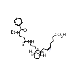 CCN(CCC(=S)NCC[C@H]1[C@@H](C/C=C\CCCC(=O)O)[C@H]2CC[C@@H]1O2)C(=O)c1ccccc1